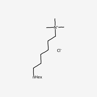 CCCCCCCCCCCC[N+](C)(C)C.[Cl-]